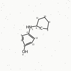 Oc1ccc(NC2CCCCC2)cc1